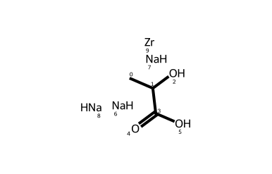 CC(O)C(=O)O.[NaH].[NaH].[NaH].[Zr]